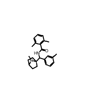 Cc1cccc(C(NC(=O)c2c(C)cccc2C)C23CCC(CC2)N3C)c1